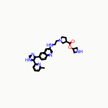 Cc1cccc(-c2[nH]cnc2-c2ccc3ncc(NCCN4CCC(C(=O)OC5CNC5)C4)cc3c2)n1